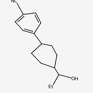 CCC(O)C1CCC(c2ccc(C#N)cc2)CC1